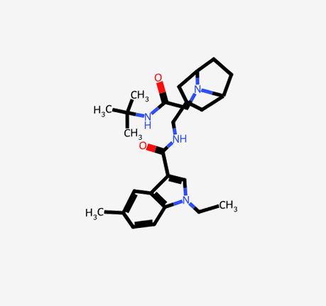 CCn1cc(C(=O)NCC2CC3CCC(C2)N3CC(=O)NC(C)(C)C)c2cc(C)ccc21